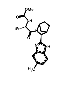 COC(=O)N[C@H](C(=O)N1C2CCC(C2)[C@H]1c1nc2cc(C)ccc2[nH]1)C(C)C